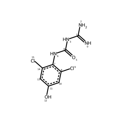 N=C(N)NC(=O)Nc1c(Cl)cc(O)cc1Cl